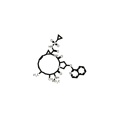 CC1CCC=CC2CC2(C(=O)NS(=O)(=O)C2CC2)NC(=O)C2CC(Oc3nccc4ccccc34)CN2C(=O)C(NC(=O)O)C(C)C1